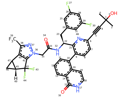 CC(C)(O)C#Cc1ccc(-c2cccc3c(=O)[nH]ccc23)c([C@H](Cc2cc(F)cc(F)c2)NC(=O)Cn2nc(C(F)(F)F)c3c2C(F)(F)[C@@H]2CC32)n1